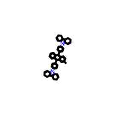 Cc1ccc2c(-c3ccc(-n4c5c(c6c4C=CCC6)CCC=C5)cc3)c3ccccc3c(-c3ccc(-n4c5c(c6c4C=CCC6)CCC=C5)cc3)c2c1